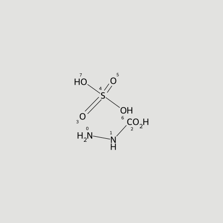 NNC(=O)O.O=S(=O)(O)O